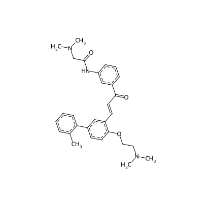 Cc1ccccc1-c1ccc(OCCN(C)C)c(C=CC(=O)c2cccc(NC(=O)CN(C)C)c2)c1